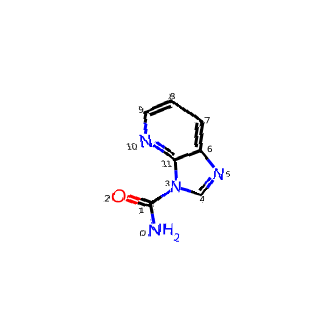 NC(=O)n1cnc2cccnc21